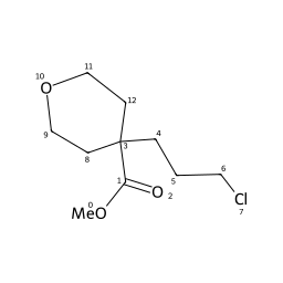 COC(=O)C1(CCCCl)CCOCC1